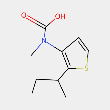 CCC(C)c1sccc1N(C)C(=O)O